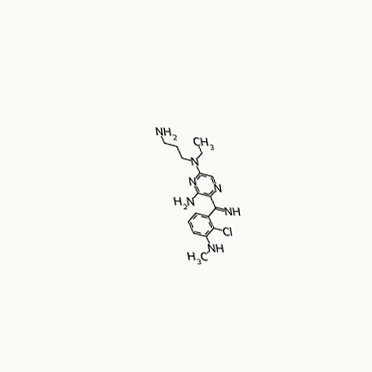 CCN(CCCN)c1cnc(C(=N)c2cccc(NC)c2Cl)c(N)n1